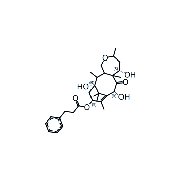 CC1=C2[C@@H](O)C(=O)C3(C)C(COC(C)C[C@@H]3O)C(C)[C@](O)(C[C@@H]1OC(=O)CCc1ccccc1)C2(C)C